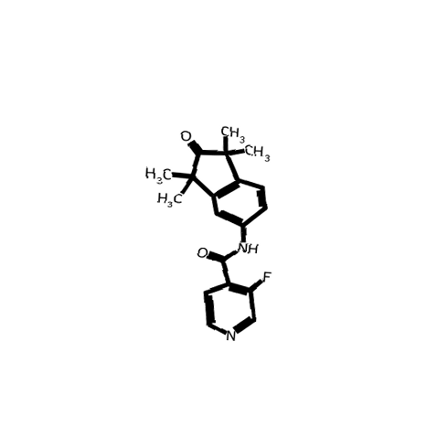 CC1(C)C(=O)C(C)(C)c2cc(NC(=O)c3ccncc3F)ccc21